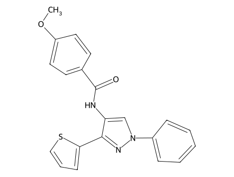 COc1ccc(C(=O)Nc2cn(-c3ccccc3)nc2-c2cccs2)cc1